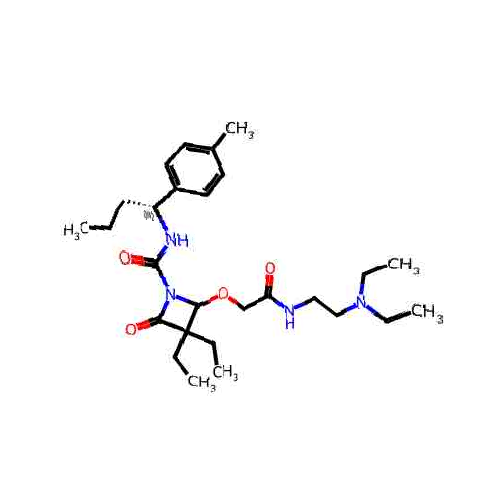 CCC[C@@H](NC(=O)N1C(=O)C(CC)(CC)C1OCC(=O)NCCN(CC)CC)c1ccc(C)cc1